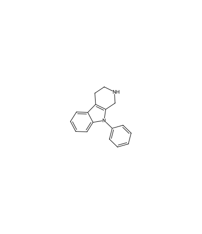 c1ccc(-n2c3c(c4ccccc42)CCNC3)cc1